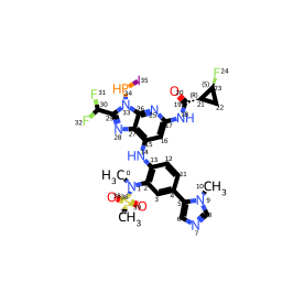 CN(c1cc(-c2cncn2C)ccc1Nc1cc(NC(=O)[C@H]2C[C@@H]2F)nc2c1nc(C(F)F)n2PI)S(C)(=O)=O